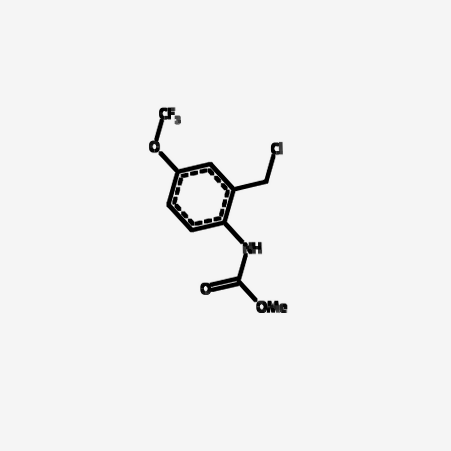 COC(=O)Nc1ccc(OC(F)(F)F)cc1CCl